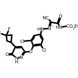 CCOC(=O)NC(=O)/C(C#N)=N/Nc1cc(Cl)c(Oc2cc(C3CC(F)(F)C3)c(=O)[nH]n2)c(Cl)c1